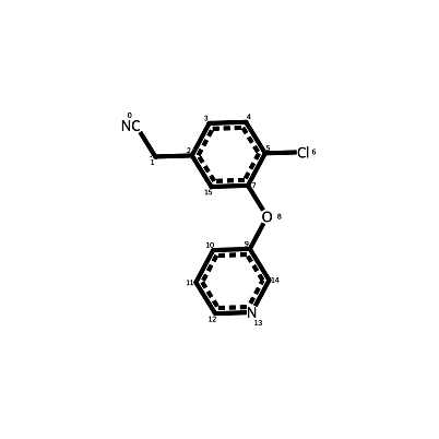 N#C[CH]c1ccc(Cl)c(Oc2cccnc2)c1